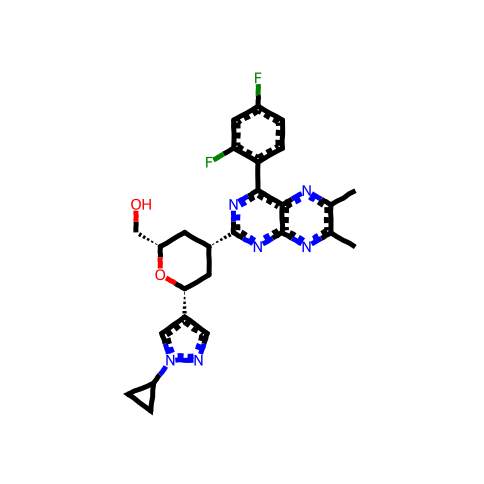 Cc1nc2nc([C@H]3C[C@@H](CO)O[C@@H](c4cnn(C5CC5)c4)C3)nc(-c3ccc(F)cc3F)c2nc1C